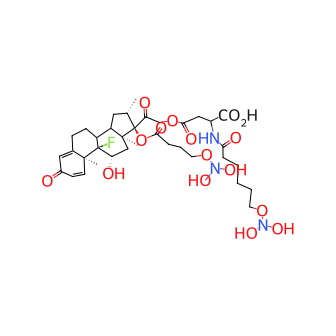 C[C@H]1CC2C3CCC4=CC(=O)C=C[C@]4(C)[C@@]3(F)[C@@H](O)C[C@]2(C)[C@@]1(OC(=O)CCCON(O)O)C(=O)COC(=O)CC(NC(=O)CCCCCON(O)O)C(=O)O